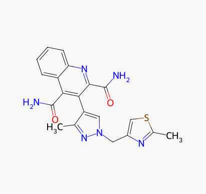 Cc1nc(Cn2cc(-c3c(C(N)=O)nc4ccccc4c3C(N)=O)c(C)n2)cs1